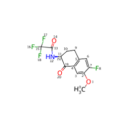 COc1cc2c(cc1F)CC[C@H](NC(=O)C(F)(F)F)C2=O